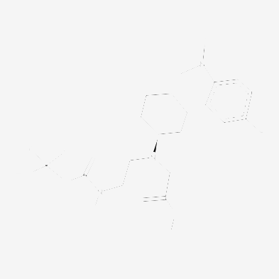 COC(=O)CN(CCN(C)C(=O)OC(C)(C)C)[C@H]1CC[C@H](CN(C)c2ccc(I)cc2)CC1